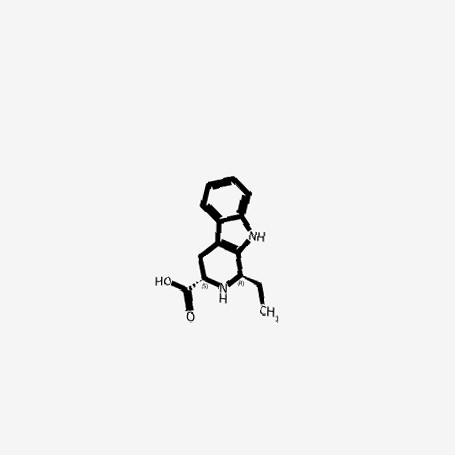 CC[C@H]1N[C@H](C(=O)O)Cc2c1[nH]c1ccccc21